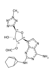 Cn1nnc([C@H]2O[C@@H](n3cnc4c(N)nc(NC5CC6CCC5C6)nc43)[C@H](OC=O)[C@@H]2O)n1